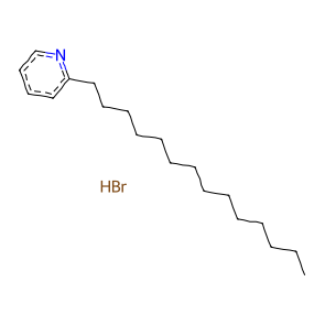 Br.CCCCCCCCCCCCCCc1ccccn1